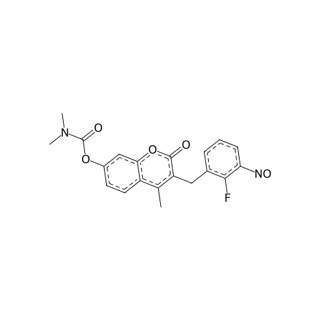 Cc1c(Cc2cccc(N=O)c2F)c(=O)oc2cc(OC(=O)N(C)C)ccc12